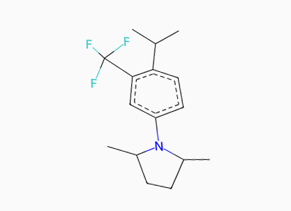 CC(C)c1ccc(N2C(C)CCC2C)cc1C(F)(F)F